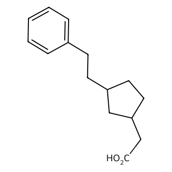 O=C(O)CC1CCC(CCc2ccccc2)C1